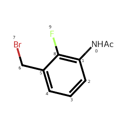 CC(=O)Nc1cccc(CBr)c1F